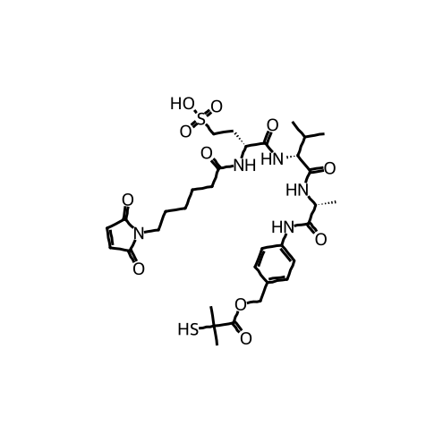 CC(C)[C@@H](NC(=O)[C@@H](CCS(=O)(=O)O)NC(=O)CCCCCN1C(=O)C=CC1=O)C(=O)N[C@H](C)C(=O)Nc1ccc(COC(=O)C(C)(C)S)cc1